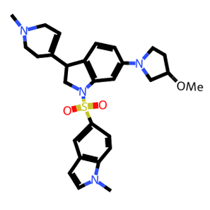 COC1CCN(c2ccc3c(c2)N(S(=O)(=O)c2ccc4c(ccn4C)c2)CC3C2=CCN(C)CC2)C1